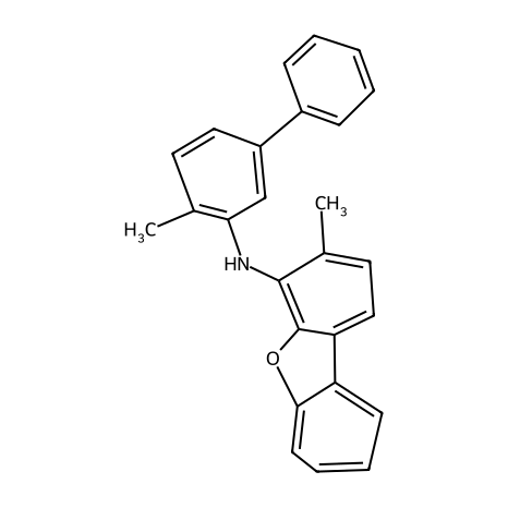 Cc1ccc(-c2ccccc2)cc1Nc1c(C)ccc2c1oc1ccccc12